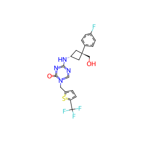 O=c1nc(N[C@H]2C[C@@](CO)(c3ccc(F)cc3)C2)ncn1Cc1ccc(C(F)(F)F)s1